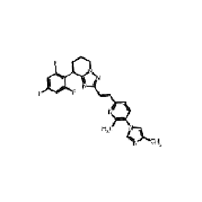 Cc1cn(-c2ccc(/C=C/c3nc4n(n3)CCC[C@@H]4c3c(F)cc(F)cc3F)nc2C)cn1